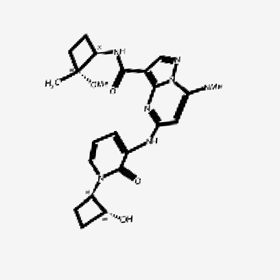 CNc1cc(Nc2cccn([C@@H]3CC[C@H]3O)c2=O)nc2c(C(=O)N[C@@H]3CC[C@@]3(C)OC)cnn12